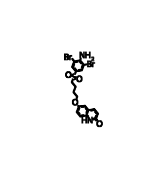 Nc1c(Br)cc(S(=O)(=O)CCCCOc2ccc3[nH]c(=O)ccc3c2)cc1Br